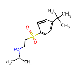 CC(C)NCCS(=O)(=O)c1ccc(C(C)(C)C)cc1